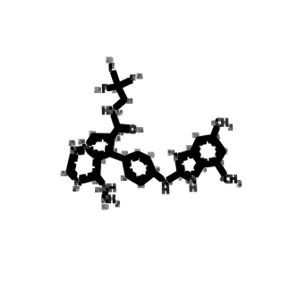 Cc1cc(C)c2[nH]c(Nc3ccc(-c4c(C(=O)NCC(F)(F)F)cn5ncnc(NN)c45)cc3)nc2c1